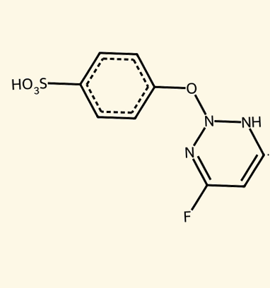 O=S(=O)(O)c1ccc(ON2N=C(F)C=[C]N2)cc1